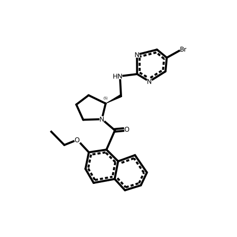 CCOc1ccc2ccccc2c1C(=O)N1CCC[C@H]1CNc1ncc(Br)cn1